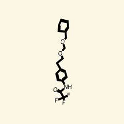 O=C(Nc1ccc(CCOCOCc2ccccc2)cc1)C(F)(F)F